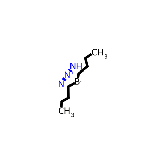 CCCC[B]CCCC.[N-]=[N+]=N